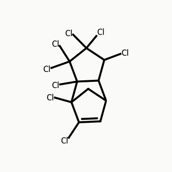 ClC1=CC2CC1(Cl)C1(Cl)C2C(Cl)C(Cl)(Cl)C1(Cl)Cl